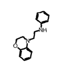 c1ccc(NCCN2CCOc3ccccc32)cc1